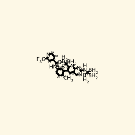 BC(B)(B)Nc1ncc2cc(-c3cc(NC(=O)c4ccnc(C(F)(F)F)c4)ccc3C)c(C(B)(B)B)nc2n1